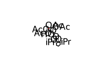 CC(=O)OC[C@H]1O[C@@](O)(CCOC(=O)Oc2c(C(C)C)cccc2C(C)C)[C@H](OC(C)=O)[C@@H](OC(C)=O)[C@@H]1OC(C)=O